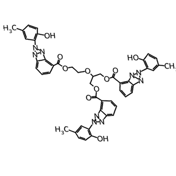 Cc1ccc(O)c(-n2n3c4cccc(C(=O)OCCOC(COC(=O)c5cccc6c5n5n(-c7cc(C)ccc7O)n65)COC(=O)c5cccc6c5n5n(-c7cc(C)ccc7O)n65)c4n23)c1